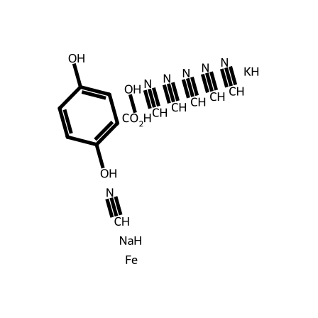 C#N.C#N.C#N.C#N.C#N.C#N.O=C(O)O.Oc1ccc(O)cc1.[Fe].[KH].[NaH]